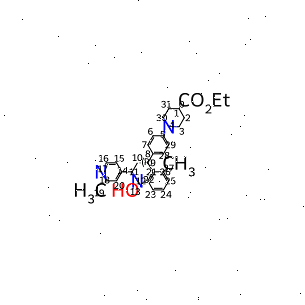 CCOC(=O)C1CCN(c2ccc([C@@H](CC(=NO)c3ccnc(C)c3)c3ccccc3C)cc2)CC1